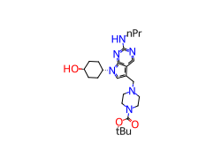 CCCNc1ncc2c(CN3CCN(C(=O)OC(C)(C)C)CC3)cn([C@H]3CC[C@H](O)CC3)c2n1